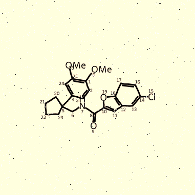 COc1ccc(C2(CNC(=O)c3cc4cc(Cl)ccc4o3)CCCC2)cc1OC